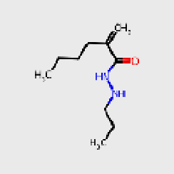 C=C(CCCC)C(=O)NNCCC